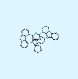 c1ccc(-c2nc(-c3cccc4c3oc3ccccc34)nc(-c3cccc4sc5cccc(-c6nc7ccccc7o6)c5c34)n2)cc1